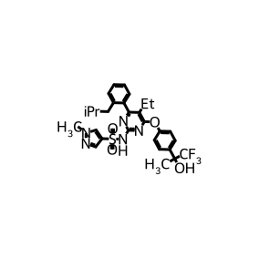 CCc1c(Oc2ccc(C(C)(O)C(F)(F)F)cc2)nc(NS(=O)(=O)c2cnn(C)c2)nc1-c1ccccc1CC(C)C